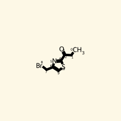 CCC(=O)c1nc(CBr)cs1